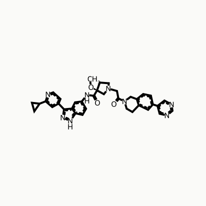 CO[C@@]1(C(=O)Nc2ccc3[nH]nc(-c4ccnc(C5CC5)c4)c3c2)CCN(CC(=O)N2CCc3cc(-c4cncnc4)ccc3C2)C1